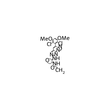 C=CC(=O)N[C@H]1CCOC[C@H]1Nc1ncc2cc(-c3c(Cl)c(OC)cc(OC)c3Cl)c3nccn3c2n1